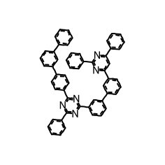 c1ccc(-c2cccc(-c3ccc(-c4nc(-c5ccccc5)nc(-c5cccc(-c6cccc(-c7cc(-c8ccccc8)nc(-c8ccccc8)n7)c6)c5)n4)cc3)c2)cc1